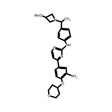 COC1CN(C(C)c2ccc(Nc3nccc(-c4ccc(OC5CCOCC5)c(N)c4)n3)cc2)C1